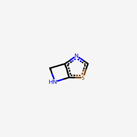 c1nc2c(s1)NC2